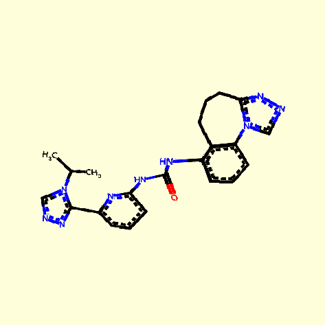 CC(C)n1cnnc1-c1cccc(NC(=O)Nc2cccc3c2CCCc2nncn2-3)n1